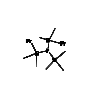 CC(C)[Si](C)(C)P([Si](C)(C)C)[Si](C)(C)C(C)C